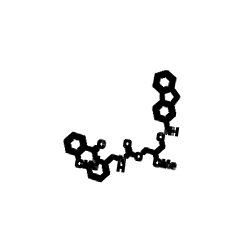 COc1ccccc1C(=O)N1CC=CC=C1CNC(=O)OCC(CONc1ccc2c(c1)Cc1ccccc1-2)OC